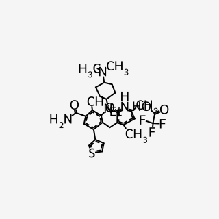 CCN(c1c(C)c(C(N)=O)cc(-c2ccsc2)c1Cc1c(C)cc(C)[nH]c1=O)C1CCC(N(C)C)CC1.O=C(O)C(F)(F)F